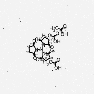 CC(=O)O.CC(=O)O.CC(=O)O.O=C1CCC(=O)N1N(N1C(=O)CCC1=O)N1C(=O)CCC1=O